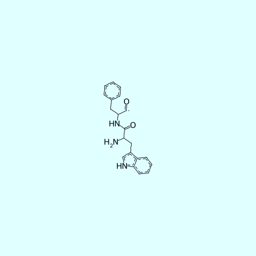 NC(Cc1c[nH]c2ccccc12)C(=O)NC([C]=O)Cc1ccccc1